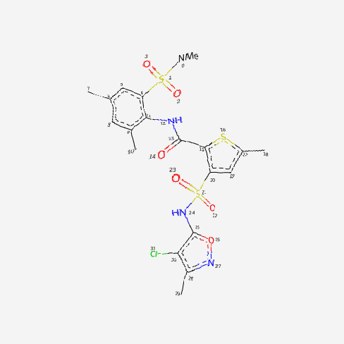 CNS(=O)(=O)c1cc(C)cc(C)c1NC(=O)c1sc(C)cc1S(=O)(=O)Nc1onc(C)c1Cl